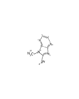 CC(C)c1nc2nccnc2n1C